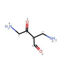 NCC(=O)C([C]=O)CN